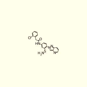 NSc1cc(NC(=O)Cc2ccccc2Cl)ccc1-n1cc2ncccc2n1